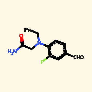 CC(C)CN(CC(N)=O)c1ccc(C=O)cc1F